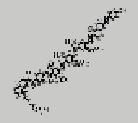 CCOc1cc(N=Nc2ccc(C(=O)Nc3ccc4cccc(OCCCCS(=O)(=O)O)c4c3)cc2OC)c(OCC)cc1N=Nc1cc(OC)c(N=Nc2cc(OC)c(N=Nc3ccc4cc(/N=N/c5ccc(O)cc5)ccc4c3O)cc2C)cc1C